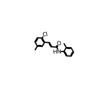 Cc1ccc(Cl)c(C=CC(=O)Nc2ccccc2C)c1